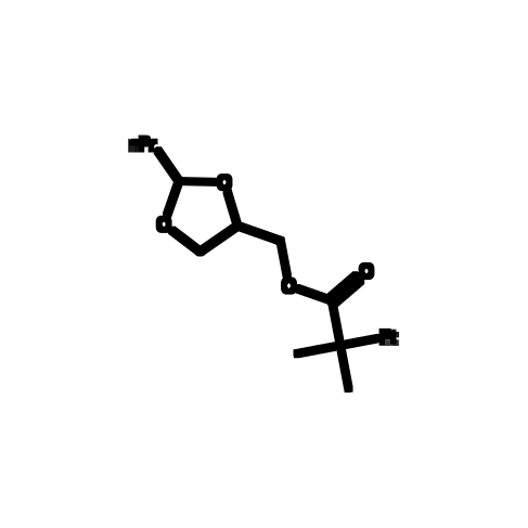 CCCC1OCC(COC(=O)C(C)(C)CC)O1